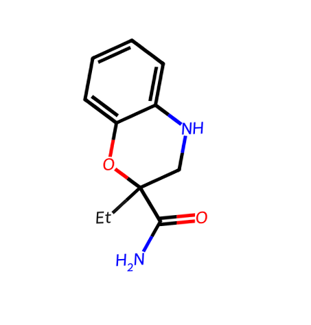 CCC1(C(N)=O)CNc2ccccc2O1